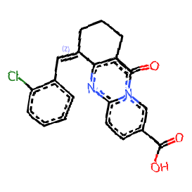 O=C(O)c1ccc2nc3c(c(=O)n2c1)CCC/C3=C/c1ccccc1Cl